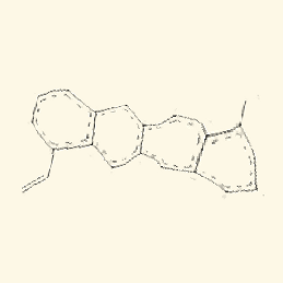 C=Cc1cccc2cc3cc4c(OC(C)=O)cccc4cc3cc12